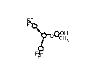 Cc1cc(OCc2cc(C#Cc3ccc(C(F)(F)F)cc3)cc(C#Cc3ccc(C(F)(F)F)cc3)c2)ccc1O